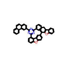 C1=C(c2ccc3oc4cccc(-c5nc(-c6ccccc6)nc(-c6ccc7ccc8ccccc8c7c6)n5)c4c3c2)c2oc3ccccc3c2CC1